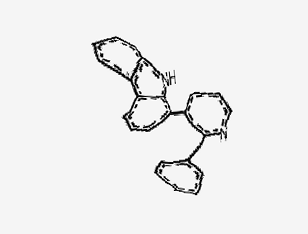 c1ccc(-c2ncccc2-c2cccc3c2[nH]c2ccccc23)cc1